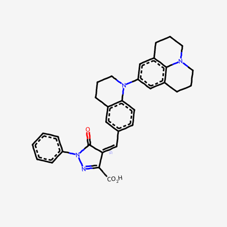 O=C(O)C1=NN(c2ccccc2)C(=O)/C1=C\c1ccc2c(c1)CCCN2c1cc2c3c(c1)CCCN3CCC2